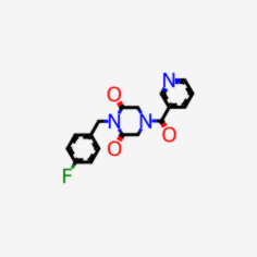 O=C(c1cccnc1)N1CC(=O)N(Cc2ccc(F)cc2)C(=O)C1